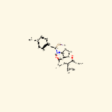 COC(=O)[C@H](C[C@@]1(C(=O)OC)CCC/C1=N\C(SI)c1ccc(OC)cc1)NC(C)=O